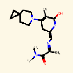 C/C(=N\C=C1/CC(N2CCC3(CC2)CC3)=C(C#N)C(O)N1)C(=O)N(C)C